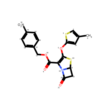 Cc1csc(OC2=C(C(=O)OCc3ccc([N+](=O)[O-])cc3)N3C(=O)CC3S2)c1